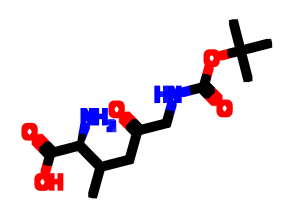 CC(CC(=O)CNC(=O)OC(C)(C)C)[C@H](N)C(=O)O